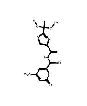 CCCC(NC(=O)C1CSC(C(C)(OCC)OCC)=N1)c1cc(OC)cc(=O)o1